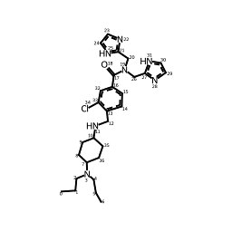 CCCN(CCC)C1CCC(NCc2ccc(C(=O)N(Cc3ncc[nH]3)Cc3ncc[nH]3)cc2Cl)CC1